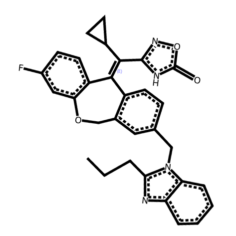 CCCc1nc2ccccc2n1Cc1ccc2c(c1)COc1cc(F)ccc1/C2=C(/c1noc(=O)[nH]1)C1CC1